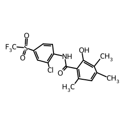 Cc1cc(C)c(C(=O)Nc2ccc(S(=O)(=O)C(F)(F)F)cc2Cl)c(O)c1C